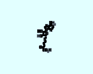 Nc1ncnc2c1ncn2[C@@H]1O[C@H](CSCCCC(=O)C(=O)O)[C@@H](O)[C@H]1O